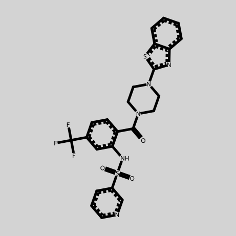 O=C(c1ccc(C(F)(F)F)cc1NS(=O)(=O)c1cccnc1)N1CCN(c2nc3ccccc3s2)CC1